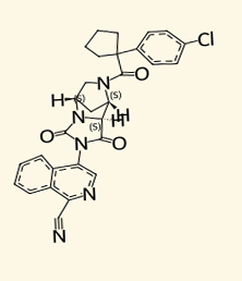 N#Cc1ncc(N2C(=O)[C@@H]3[C@@H]4C[C@@H](CN4C(=O)C4(c5ccc(Cl)cc5)CCCC4)N3C2=O)c2ccccc12